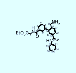 CCOC(=O)CNC(=O)c1cccc(-c2cc(C(=O)Nc3ccncc3)ccc2CN)c1